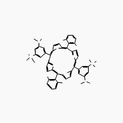 CN(C)c1cc(-c2c3nc(c(-c4c(O)cccc4O)c4ccc([nH]4)c(-c4cc(N(C)C)cc([N+](C)(C)C)c4)c4nc(c(-c5c(O)cccc5O)c5ccc2[nH]5)C=C4)C=C3)cc([N+](C)(C)C)c1